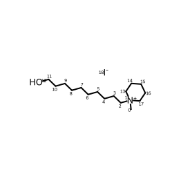 C[N+]1(CCCCCCCCCCO)CCCCC1.[I-]